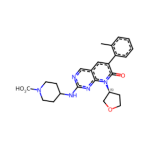 Cc1ccccc1-c1cc2cnc(NC3CCN(C(=O)O)CC3)nc2n([C@H]2CCOC2)c1=O